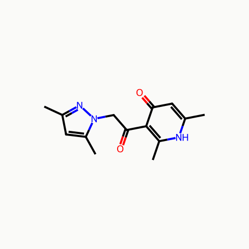 Cc1cc(C)n(CC(=O)c2c(C)[nH]c(C)cc2=O)n1